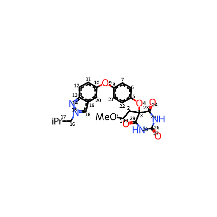 COCCC1(Oc2ccc(Oc3ccc4nn(CC(C)C)cc4c3)cc2)C(=O)NC(=O)NC1=O